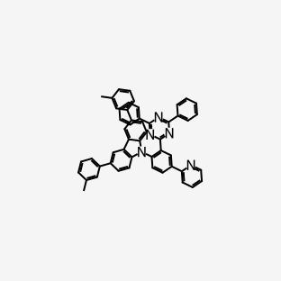 Cc1cccc(-c2ccc3c(c2)c2cc(-c4cccc(C)c4)ccc2n3-c2ccc(-c3ccccn3)cc2-c2nc(-c3ccccc3)nc(-c3ccccc3)n2)c1